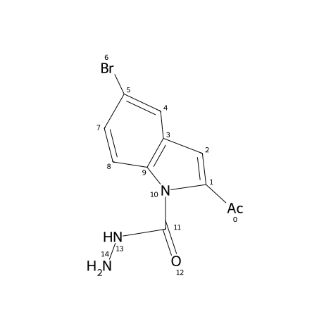 CC(=O)c1cc2cc(Br)ccc2n1C(=O)NN